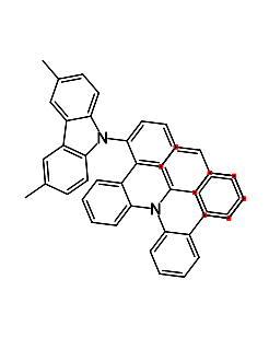 Cc1ccc2c(c1)c1cc(C)ccc1n2-c1ccccc1-c1ccccc1N(c1ccccc1-c1ccccc1)c1cccc2ccccc12